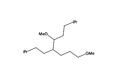 COCCCC(CCC(C)C)C(CCC(C)C)OC